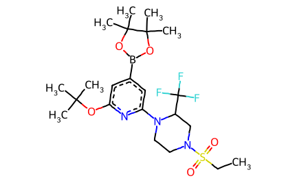 CCS(=O)(=O)N1CCN(c2cc(B3OC(C)(C)C(C)(C)O3)cc(OC(C)(C)C)n2)C(C(F)(F)F)C1